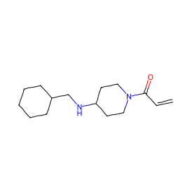 C=CC(=O)N1CCC(NCC2CCCCC2)CC1